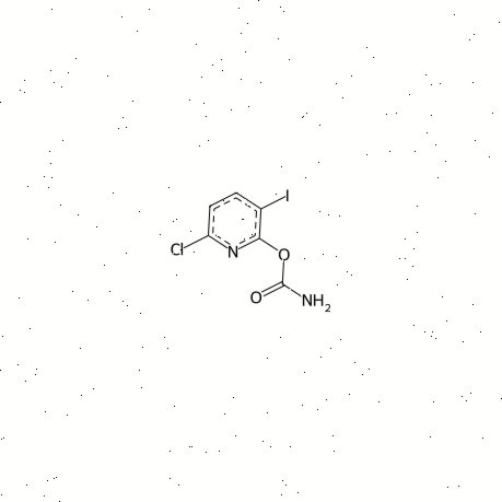 NC(=O)Oc1nc(Cl)ccc1I